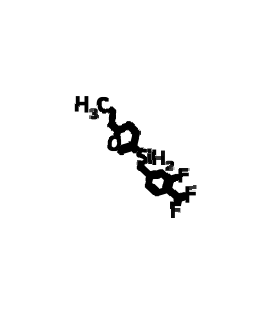 CCCC1CCC([SiH2]Cc2ccc(C(F)F)c(F)c2)=CO1